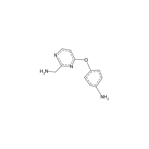 NCc1nccc(Oc2ccc(N)cc2)n1